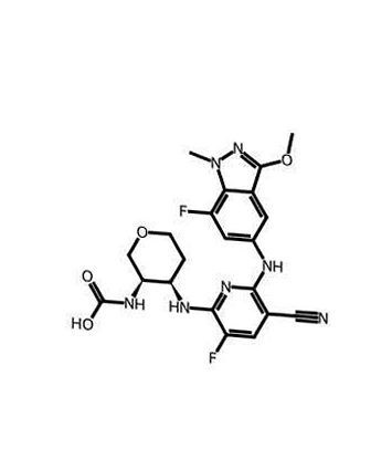 COc1nn(C)c2c(F)cc(Nc3nc(N[C@@H]4CCOC[C@@H]4NC(=O)O)c(F)cc3C#N)cc12